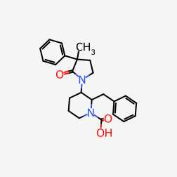 CC1(c2ccccc2)CCN(C2CCCN(C(=O)O)C2Cc2ccccc2)C1=O